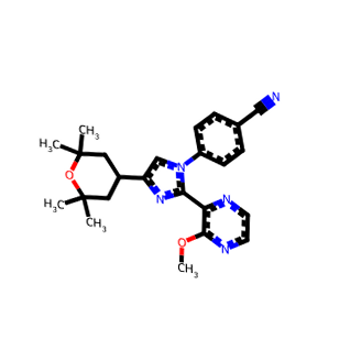 COc1nccnc1-c1nc(C2CC(C)(C)OC(C)(C)C2)cn1-c1ccc(C#N)cc1